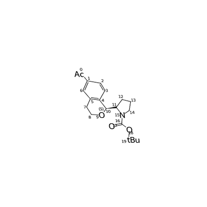 CC(=O)c1ccc2c(c1)CCO[C@@H]2C1CCCN1C(=O)OC(C)(C)C